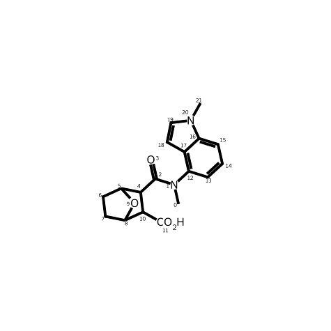 CN(C(=O)C1C2CCC(O2)C1C(=O)O)c1cccc2c1ccn2C